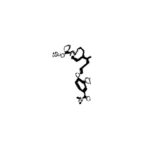 CC(CCCOc1ccc(C(=O)N(C)C)cc1Cl)C1CCN(C(=O)OC(C)(C)C)CC1